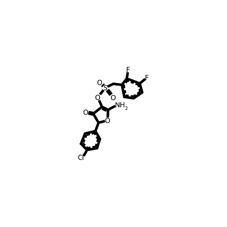 NC1=C(OS(=O)(=O)Cc2cccc(F)c2F)C(=O)C(c2ccc(Cl)cc2)O1